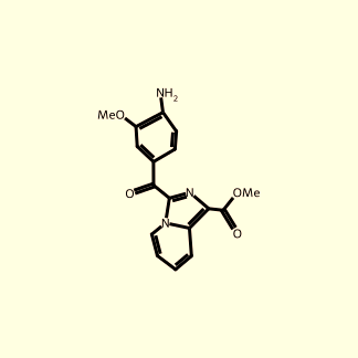 COC(=O)c1nc(C(=O)c2ccc(N)c(OC)c2)n2ccccc12